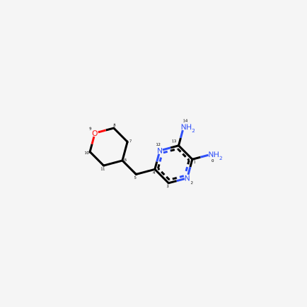 Nc1ncc(CC2CCOCC2)nc1N